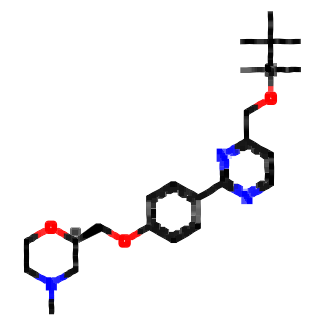 CN1CCO[C@@H](COc2ccc(-c3nccc(CO[Si](C)(C)C(C)(C)C)n3)cc2)C1